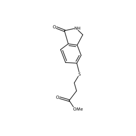 COC(=O)CCSc1ccc2c(c1)CNC2=O